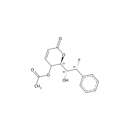 CC(=O)OC1C=CC(=O)O[C@H]1[C@@H](O)[C@H](F)c1ccccc1